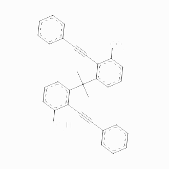 CC(C)(c1cccc(C(=O)O)c1C#Cc1ccccc1)c1cccc(C(=O)O)c1C#Cc1ccccc1